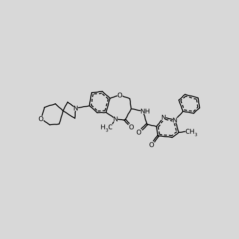 Cc1cc(=O)c(C(=O)NC2COc3ccc(N4CC5(CCOCC5)C4)cc3N(C)C2=O)nn1-c1ccccc1